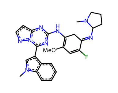 COC1=C(Nc2nc(-c3cn(C)c4ccccc34)n3nccc3n2)CC(=NC2CCCN2C)C(F)=C1